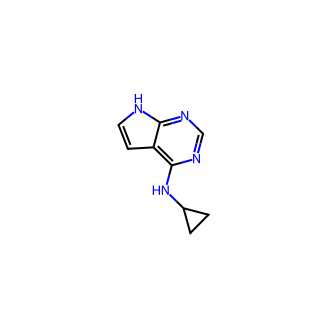 c1nc(NC2CC2)c2cc[nH]c2n1